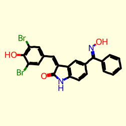 O=C1Nc2ccc(C(=NO)c3ccccc3)cc2C1=Cc1cc(Br)c(O)c(Br)c1